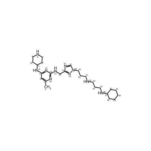 Cc1cc(NC2CCNCC2)nc(NCc2ncn(CCCNCCCNC3CCCCC3)n2)n1